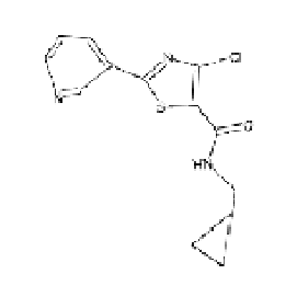 O=C(NCC1CC1)c1sc(-c2cccnc2)nc1Cl